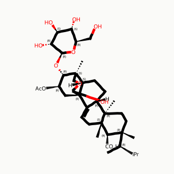 CC(=O)O[C@@H]1C[C@]23C4=CC[C@@]5(C)[C@H](C(=O)O)[C@@](C)([C@H](C)C(C)C)CC[C@]5(C)[C@H]4CC[C@H]2[C@@](C)(COC3O)[C@H]1O[C@@H]1O[C@H](CO)[C@@H](O)[C@H](O)[C@H]1O